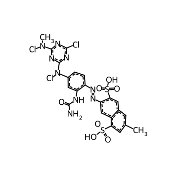 Cc1cc(S(=O)(=O)O)c2cc(N=Nc3ccc(N(Cl)c4nc(Cl)nc(N(C)Cl)n4)cc3NC(N)=O)c(S(=O)(=O)O)cc2c1